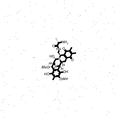 COc1c(C)c(O)c2c(c1O)[C@@H]1[C@@H]3CC4=C(C(=O)C(C)=C(C)C4=O)[C@H](CNC(=O)[C@H](C)N)N3[C@@H](O)[C@H]([C@H]2OC)N1C